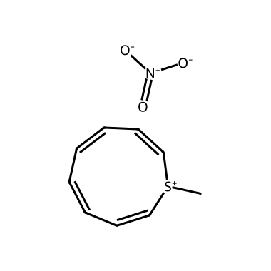 C[s+]1cccccccc1.O=[N+]([O-])[O-]